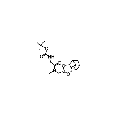 CN(CB1OC2CC3CC(C2O1)C3(C)C)C(=O)CNC(=O)OC(C)(C)C